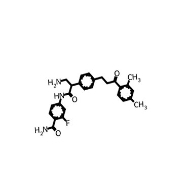 Cc1ccc(C(=O)CCc2ccc(C(CN)C(=O)Nc3ccc(C(N)=O)c(F)c3)cc2)c(C)c1